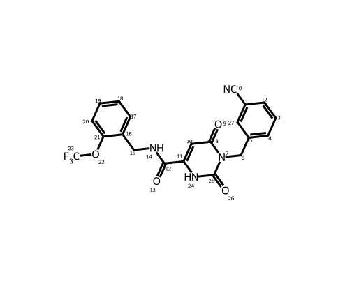 N#Cc1cccc(Cn2c(=O)cc(C(=O)NCc3ccccc3OC(F)(F)F)[nH]c2=O)c1